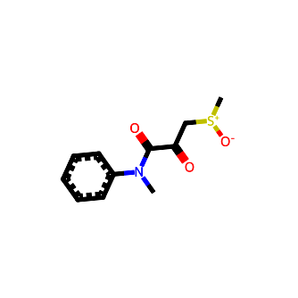 CN(C(=O)C(=O)C[S+](C)[O-])c1ccccc1